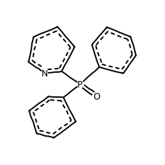 O=P(c1ccccc1)(c1ccccc1)c1ccccn1